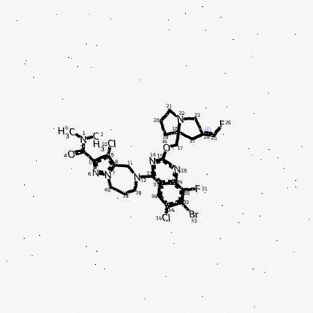 CN(C)C(=O)c1nn2c(c1Cl)CN(c1nc(OCC34CCCN3C/C(=C\F)C4)nc3c(F)c(Br)c(Cl)cc13)CCC2